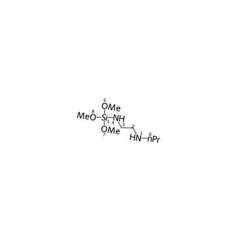 CCCNCCN[Si](OC)(OC)OC